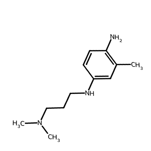 Cc1cc(NCCCN(C)C)ccc1N